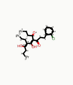 CC(C)CCC(=O)/C(C(=O)CCc1ccccc1Cl)=C(O)\C(CCC(C)C)=C(\O)CCC(C)C